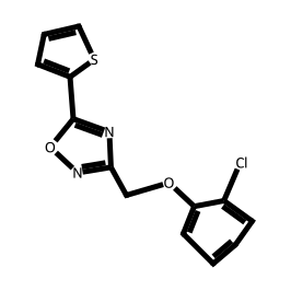 Clc1ccccc1OCc1noc(-c2cccs2)n1